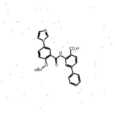 CCCCOc1ccc(-n2ccnc2)cc1C(=O)Nc1cc(-c2ccccc2)ccc1C(=O)O